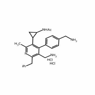 CC(=O)NC1CC1c1c(C)nc(CC(C)C)c(CN)c1-c1ccc(CN)cc1.Cl.Cl